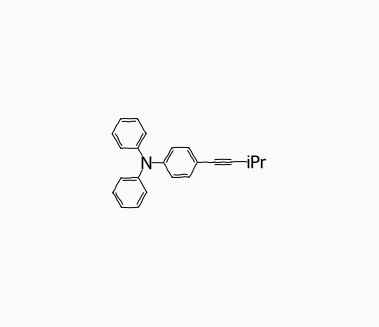 CC(C)C#Cc1ccc(N(c2ccccc2)c2ccccc2)cc1